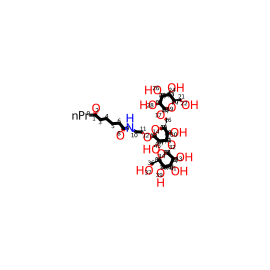 CCCC(=O)CCCCC(=O)NCCO[C@H]1O[C@H](CO[C@H]2O[C@H](CO)[C@@H](O)[C@H](O)[C@@H]2O)[C@@H](O)[C@H](O[C@H]2O[C@H](CO)[C@@H](O)[C@H](O)[C@@H]2O)[C@@H]1O